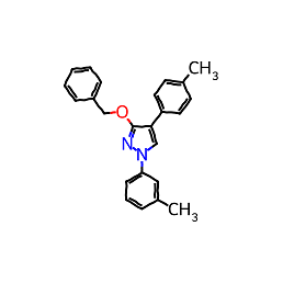 Cc1ccc(-c2cn(-c3cccc(C)c3)nc2OCc2ccccc2)cc1